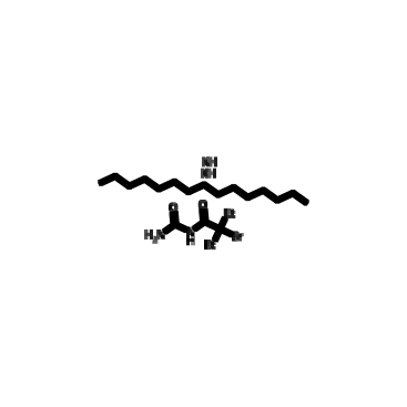 CCC(Br)(CC)C(=O)NC(N)=O.CCCCCCCCCCCCCCC.[KH].[KH]